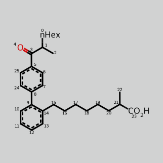 CCCCCCC(C)C(=O)c1ccc(-c2ccccc2CCCCCCC(C)C(=O)O)cc1